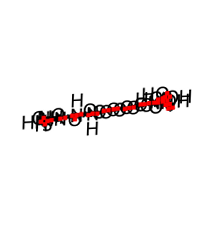 O=C(CCCCCNC(=O)CCCC[C@@H]1SC[C@@H]2NC(=O)N[C@@H]21)NCCCCCC(=O)NCCOCCOCCOCCOCCOCCOCCOCCOCCNC(=O)c1cc(N(Cc2ccccc2O)Cc2cc(O)ccc2O)ccc1O